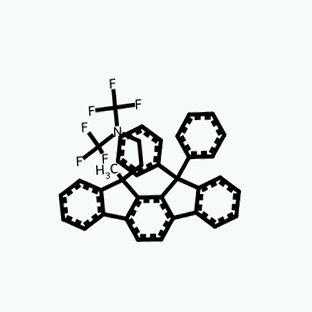 CC1(CCN(C(F)(F)F)C(F)(F)F)c2ccccc2-c2ccc3c(c21)C(c1ccccc1)(c1ccccc1)c1ccccc1-3